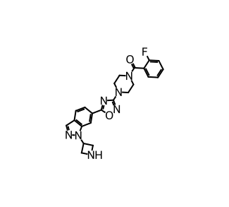 O=C(c1ccccc1F)N1CCN(c2noc(-c3ccc4cnn(C5CNC5)c4c3)n2)CC1